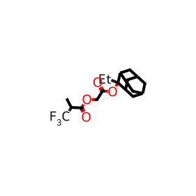 CCC1(OC(=O)COC(=O)C(C)C(F)(F)F)C2CC3CC(C2)CC1C3